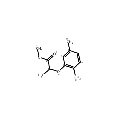 COC(=O)C(C)Oc1cc(C)ccc1C